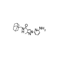 Cc1nn(-c2cccc(N)n2)cc1C(=O)NCC12CC3CC(CC(C3)C1)C2